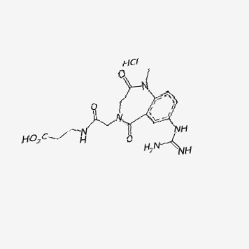 CN1C(=O)CN(CC(=O)NCCC(=O)O)C(=O)c2cc(NC(=N)N)ccc21.Cl